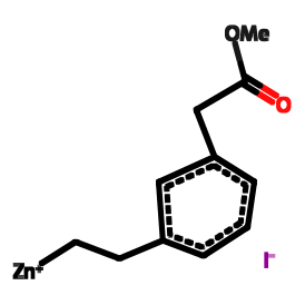 COC(=O)Cc1cccc(C[CH2][Zn+])c1.[I-]